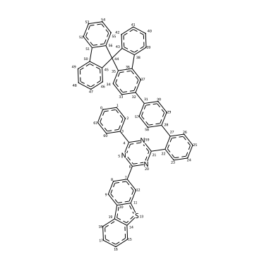 c1ccc(-c2nc(-c3ccc4c(c3)sc3ccccc34)nc(-c3ccccc3-c3ccc(-c4ccc5c(c4)-c4ccccc4C54c5ccccc5-c5ccccc54)cc3)n2)cc1